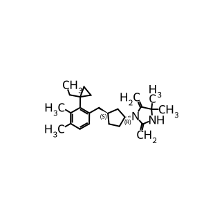 C=C1NC(C)(C)C(=C)N1[C@@H]1CC[C@@H](Cc2ccc(C)c(C)c2C2(CC)CC2)C1